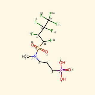 CN(CCCP(=O)(O)O)S(=O)(=O)C(F)C(F)C(F)(F)C(F)(F)F